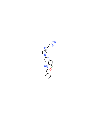 O=C(CC1CCCCC1)Nc1c(Cl)ccc2nc(N3CC[C@H](NCCc4nn[nH]n4)C3)ccc12